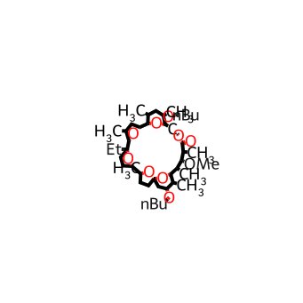 CCCCOC1CC23CCC(C)(O2)C2CCC(CC)(O2)C2OC(CC2C)C2OC(OCCCC)(COC(=O)C(C)C(OC)C(C)C(O3)C1C)C(C)CC2C